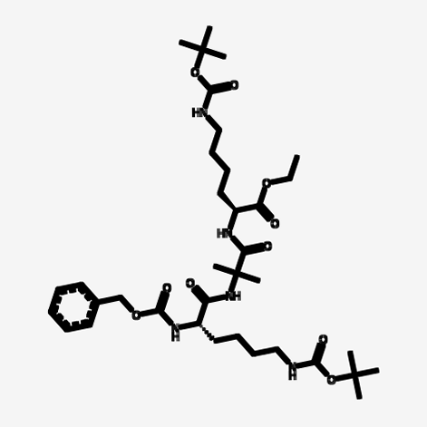 CCOC(=O)[C@H](CCCCNC(=O)OC(C)(C)C)NC(=O)C(C)(C)NC(=O)[C@H](CCCCNC(=O)OC(C)(C)C)NC(=O)OCc1ccccc1